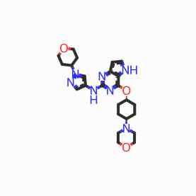 c1cc2nc(Nc3cnn(C4CCOCC4)c3)nc(O[C@H]3CC[C@H](N4CCOCC4)CC3)c2[nH]1